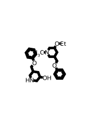 CCOC1CC(COc2ccccc2)CN(C)C1.OC1CNCC(COc2ccccc2)C1